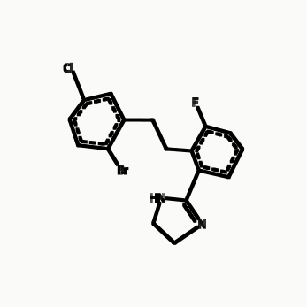 Fc1cccc(C2=NCCN2)c1CCc1cc(Cl)ccc1Br